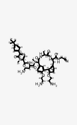 CC1NC(=O)C(N(C)C(=O)C(CCN)NC(=O)c2cnc(-c3ccc(C(C)(C)C)cc3)c(=O)n2C)c2ccc(OCCN)c(c2)-c2cc(ccc2OCCN)CC(C(=O)NCC#N)NC1=O